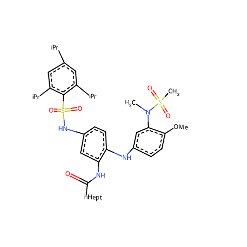 CCCCCCCC(=O)Nc1cc(NS(=O)(=O)c2c(C(C)C)cc(C(C)C)cc2C(C)C)ccc1Nc1ccc(OC)c(N(C)S(C)(=O)=O)c1